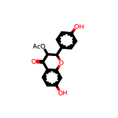 CC(=O)OC1C(=O)c2ccc(O)cc2OC1c1ccc(O)cc1